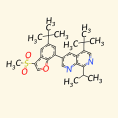 CC(C)c1ncc(C(C)(C)C)c2cc(-c3cc(C(C)(C)C)cc4c(S(C)(=O)=O)coc34)cnc12